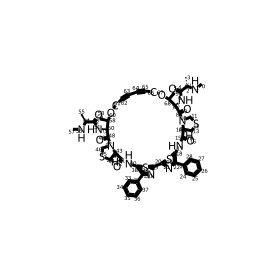 CN[C@@H](C)C(=O)N[C@@H]1C(=O)N2CSC[C@H]2C(=O)Nc2sc(nc2-c2ccccc2)-c2nc(-c3ccccc3)c(s2)NC(=O)[C@@H]2CSCN2C(=O)[C@@H](NC(=O)[C@H](C)NC)C(C)OCC#CC#CCOC1C